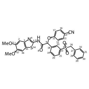 COc1cc2nc(NC(=O)C(Oc3ccc(C#N)cc3)c3cccc(S(=O)(=O)Cc4ccccc4)c3)sc2cc1OC